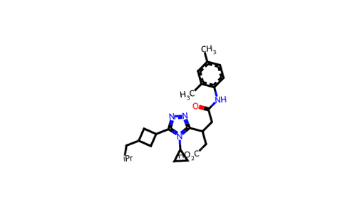 Cc1ccc(NC(=O)CC(CC(=O)O)c2nnc(C3CC(CC(C)C)C3)n2C2CC2)c(C)c1